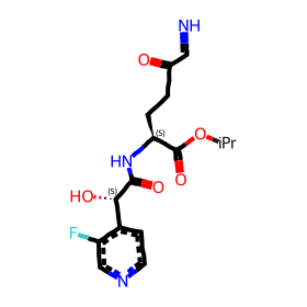 CC(C)OC(=O)[C@H](CCC(=O)C=N)NC(=O)[C@@H](O)c1ccncc1F